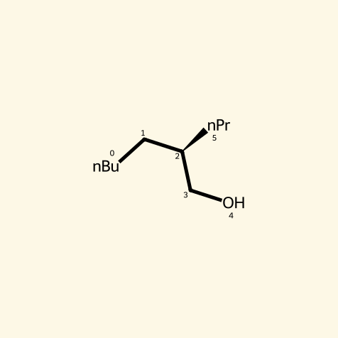 CCCCC[C@H](CO)CCC